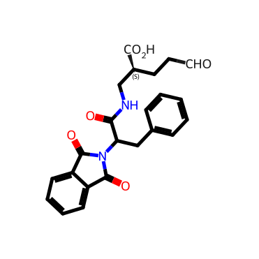 O=CCC[C@@H](CNC(=O)C(Cc1ccccc1)N1C(=O)c2ccccc2C1=O)C(=O)O